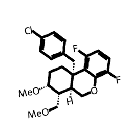 COC[C@@H]1[C@H](OC)CC[C@@]2(Cc3ccc(Cl)cc3)c3c(F)ccc(F)c3OC[C@@H]12